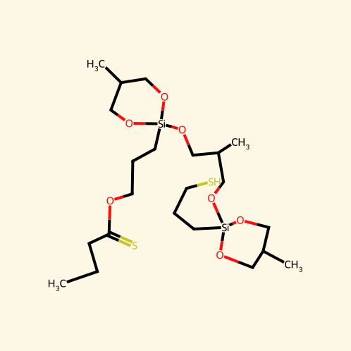 CCCC(=S)OCCC[Si]1(OCC(C)CO[Si]2(CCCS)OCC(C)CO2)OCC(C)CO1